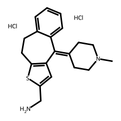 CN1CCC(=C2c3ccccc3CCc3sc(CN)cc32)CC1.Cl.Cl